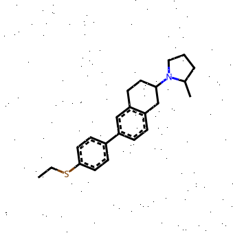 CCSc1ccc(-c2ccc3c(c2)CCC(N2CCCC2C)C3)cc1